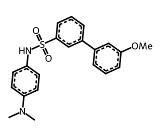 COc1cccc(-c2cccc(S(=O)(=O)Nc3ccc(N(C)C)cc3)c2)c1